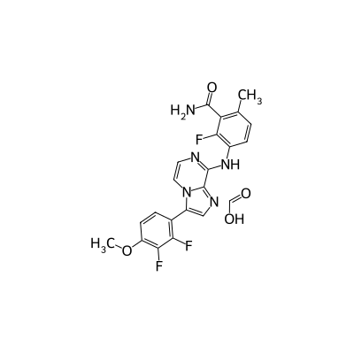 COc1ccc(-c2cnc3c(Nc4ccc(C)c(C(N)=O)c4F)nccn23)c(F)c1F.O=CO